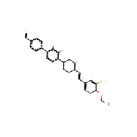 C=Cc1ccc(-c2ccc(C3CCC(/C=C/C4=CCC(OCC)C(F)=C4)CC3)c(F)c2F)cc1